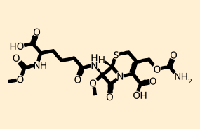 COC(=O)NC(CCCC(=O)N[C@]1(OC)C(=O)N2C(C(=O)O)=C(COC(N)=O)CS[C@H]21)C(=O)O